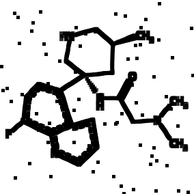 C[C@@H]1CNC[C@](NC(=O)CN(C)C)(c2ccc(F)c3ncccc23)C1